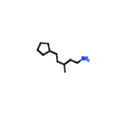 CC([CH]CN)CCC1CCCC1